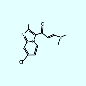 Cc1nc2cc(Cl)ccn2c1C(=O)/C=C/N(C)C